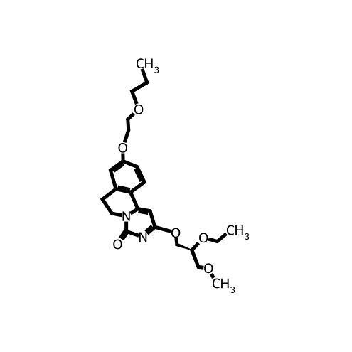 CCCOCCOc1ccc2c(c1)CCn1c-2cc(OC[C@H](COC)OCC)nc1=O